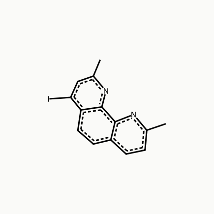 Cc1ccc2ccc3c(I)cc(C)nc3c2n1